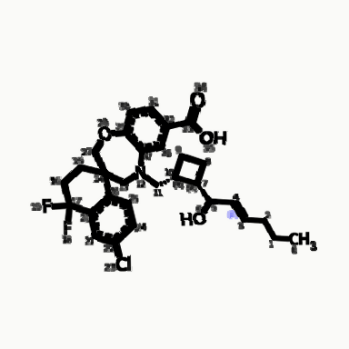 CCC/C=C/C(O)[C@@H]1CC[C@H]1CN1CC2(CCC(F)(F)c3cc(Cl)ccc32)COc2ccc(C(=O)O)cc21